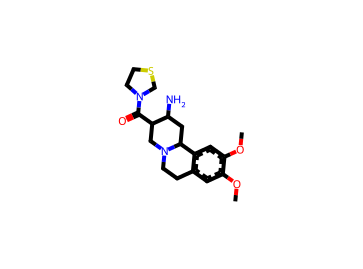 COc1cc2c(cc1OC)C1CC(N)C(C(=O)N3CCSC3)CN1CC2